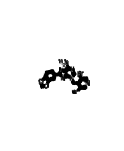 Nc1ncn(Cc2c(Br)cncc2Br)c2nc(-c3ccc4c(c3)OCO4)nc1-2